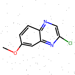 COc1ccc2ncc(Cl)nc2c1